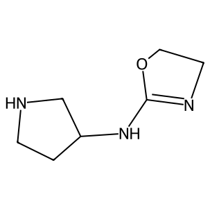 C1COC(NC2CCNC2)=N1